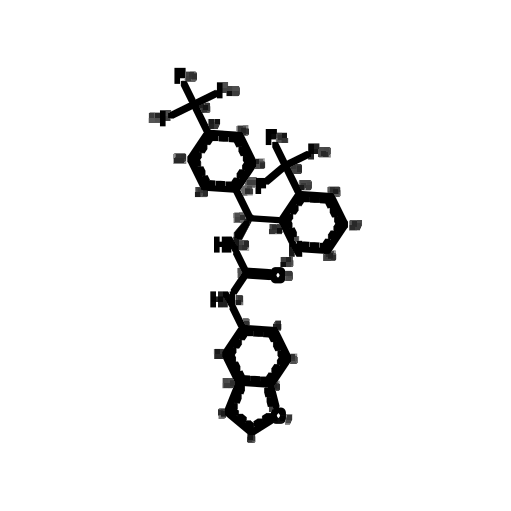 O=C(Nc1ccc2occc2c1)N[C@@H](c1ccc(C(F)(F)F)cc1)c1ncccc1C(F)(F)F